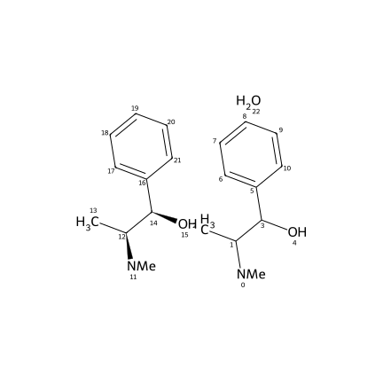 CNC(C)C(O)c1ccccc1.CN[C@@H](C)[C@H](O)c1ccccc1.O